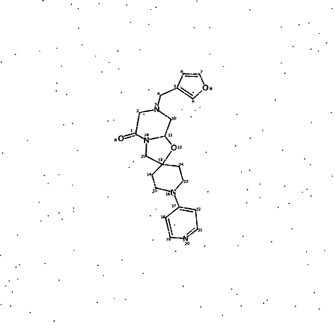 O=C1CN(Cc2ccoc2)CC2OC3(CCN(c4ccncc4)CC3)CN12